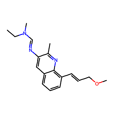 CCN(C)C=Nc1cc2cccc(C=CCOC)c2nc1C